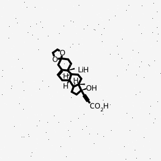 C[C@]12CCC3(CC1=CC[C@@H]1[C@@H]2CC[C@@]2(C)[C@H]1CC[C@@]2(O)C#CC(=O)O)OCCO3.[LiH]